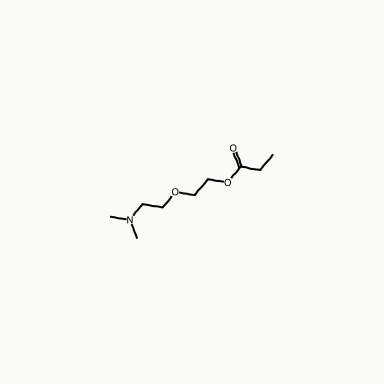 CCC(=O)OCCOCCN(C)C